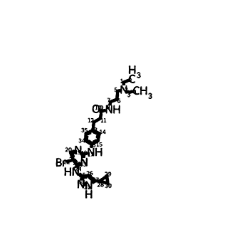 CCN(CC)CCCNC(=O)CCc1ccc(Nc2ncc(Br)c(Nc3cc(C4CC4)[nH]n3)n2)cc1